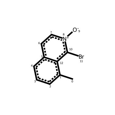 Cc1cccc2cc[n+]([O-])c(Br)c12